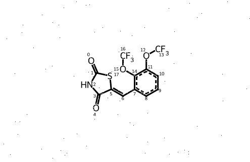 O=C1NC(=O)C(=Cc2cccc(OC(F)(F)F)c2OC(F)(F)F)S1